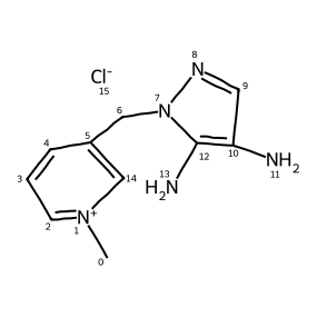 C[n+]1cccc(Cn2ncc(N)c2N)c1.[Cl-]